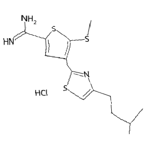 CSc1sc(C(=N)N)cc1-c1nc(CCC(C)C)cs1.Cl